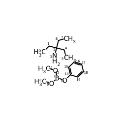 CCC(N)(CC)CC.COB(OC)Oc1ccccc1